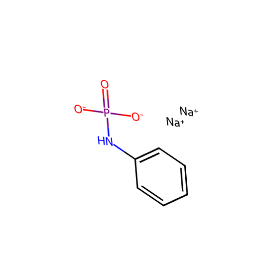 O=P([O-])([O-])Nc1ccccc1.[Na+].[Na+]